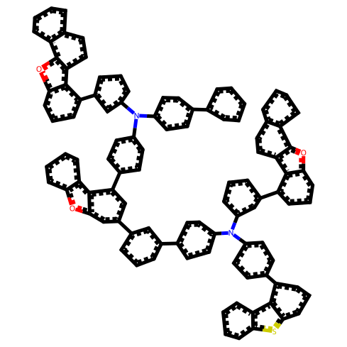 c1ccc(-c2ccc(N(c3ccc(-c4cc(-c5cccc(-c6ccc(N(c7ccc(-c8cccc9sc%10ccccc%10c89)cc7)c7cccc(-c8cccc9oc%10c%11ccccc%11ccc%10c89)c7)cc6)c5)cc5oc6ccccc6c45)cc3)c3cccc(-c4cccc5oc6c7ccccc7ccc6c45)c3)cc2)cc1